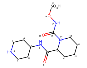 O=C(NC1CCNCC1)C1CCCCN1C(=O)NOS(=O)(=O)O